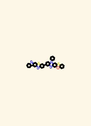 CN1c2ccc(-c3ccc4c(c3)n(C)c3cc5oc6ccccc6sc5cc3n4-c3ccccc3)cc2Sc2cc3c(cc21)c1ccccc1n3C